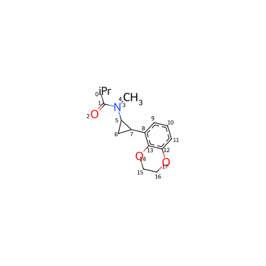 CC(C)C(=O)N(C)C1CC1c1cccc2c1OCCO2